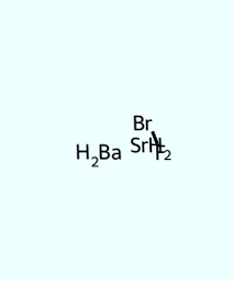 FBr.[BaH2].[SrH2]